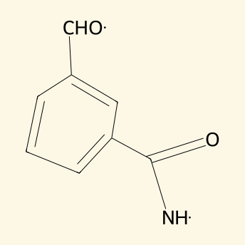 [NH]C(=O)c1cccc([C]=O)c1